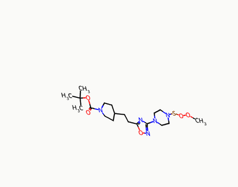 COOSN1CCN(c2noc(CCC3CCN(C(=O)OC(C)(C)C)CC3)n2)CC1